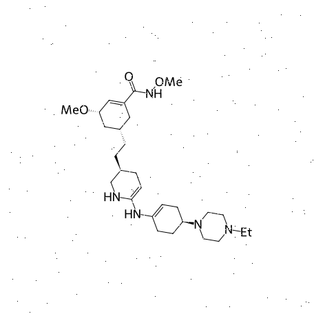 CCN1CCN([C@@H]2CC=C(NC3=CC[C@H](CC[C@H]4CC(C(=O)NOC)=C[C@@H](OC)C4)CN3)CC2)CC1